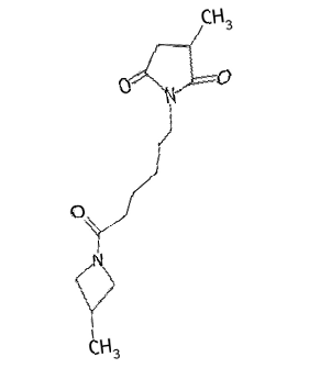 CC1CN(C(=O)CCCCCN2C(=O)CC(C)C2=O)C1